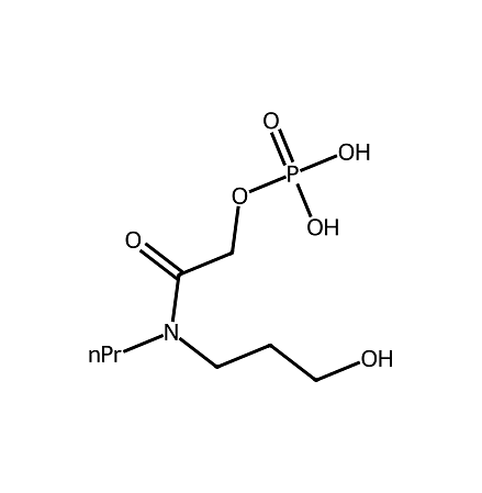 CCCN(CCCO)C(=O)COP(=O)(O)O